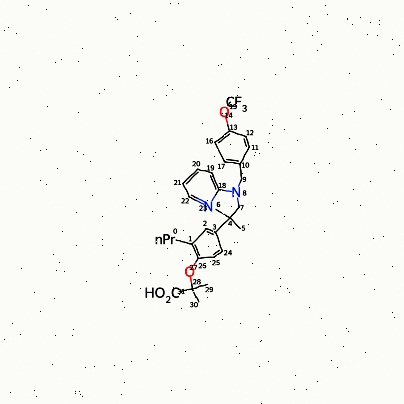 CCCc1cc(C(C)(C)CN(Cc2ccc(OC(F)(F)F)cc2)c2ccccn2)ccc1OC(C)(C)C(=O)O